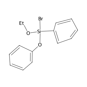 CCO[Si](Br)(Oc1ccccc1)c1ccccc1